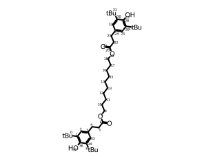 CC(C)(C)c1cc(CCC(=O)OCCCCCCCCCCOC(=O)CCc2cc(C(C)(C)C)c(O)c(C(C)(C)C)c2)cc(C(C)(C)C)c1O